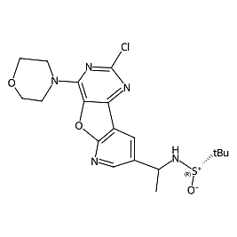 CC(N[S@@+]([O-])C(C)(C)C)c1cnc2oc3c(N4CCOCC4)nc(Cl)nc3c2c1